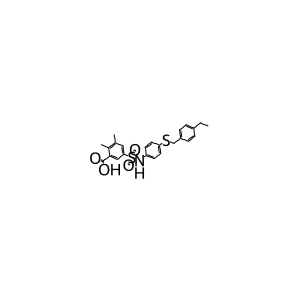 CCc1ccc(CSc2ccc(NS(=O)(=O)c3cc(C)c(C)c(C(=O)O)c3)cc2)cc1